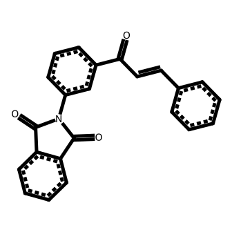 O=C(/C=C/c1ccccc1)c1cccc(N2C(=O)c3ccccc3C2=O)c1